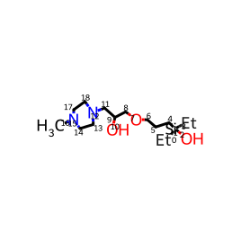 CC[Si](O)(CC)CCCOCC(O)CN1CCN(C)CC1